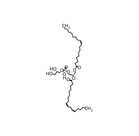 CCCC/C=C\C/C=C\CCCCCCCC(=O)O[C@H](COC(=O)CCCCCCC/C=C\CCCCCCCC)COP(=O)(O)OC[C@@H](O)CO